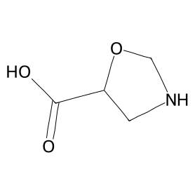 O=C(O)C1CNCO1